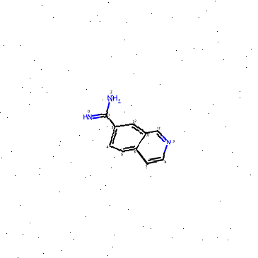 N=C(N)c1ccc2ccncc2c1